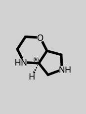 C1CO[C]2CNC[C@H]2N1